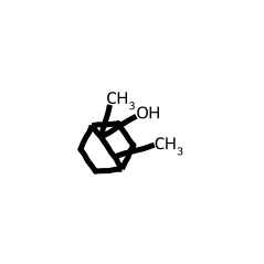 CC1C2CCC(CC2)C1(C)O